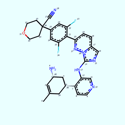 CC1=C[C@H](N)C[C@H](c2ccncc2Nc2ncc3ccc(-c4c(F)cc(C5(C#N)CCOCC5)cc4F)nn23)C1